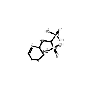 O=P(O)(O)C(NC1CCCC=N1)P(=O)(O)O